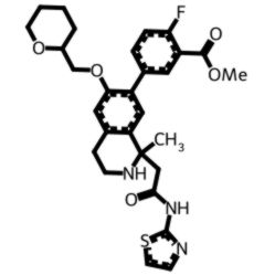 COC(=O)c1cc(-c2cc3c(cc2OCC2CCCCO2)CCNC3(C)CC(=O)Nc2nccs2)ccc1F